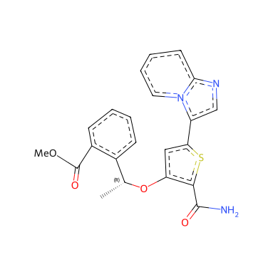 COC(=O)c1ccccc1[C@@H](C)Oc1cc(-c2cnc3ccccn23)sc1C(N)=O